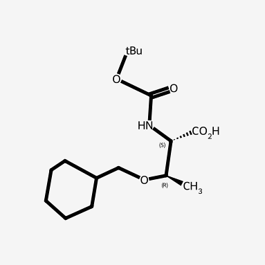 C[C@@H](OCC1CCCCC1)[C@H](NC(=O)OC(C)(C)C)C(=O)O